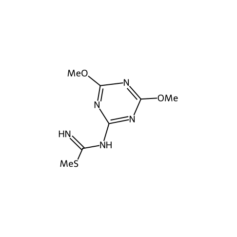 COc1nc(NC(=N)SC)nc(OC)n1